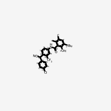 Cc1c(I)cc(C(C)(C)C)c(O)c1C(=O)Nc1ccc(C(C#N)c2ccc(Cl)cc2)c(C(F)(F)F)c1